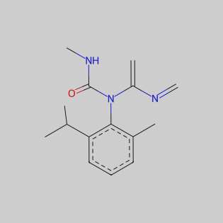 C=NC(=C)N(C(=O)NC)c1c(C)cccc1C(C)C